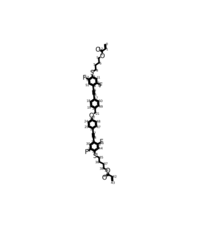 C=CC(=O)OCCCCSc1cc(F)c(C#Cc2ccc(COc3ccc(C#Cc4cc(F)c(SCCCCOC(=O)C=C)cc4F)cc3)cc2)cc1F